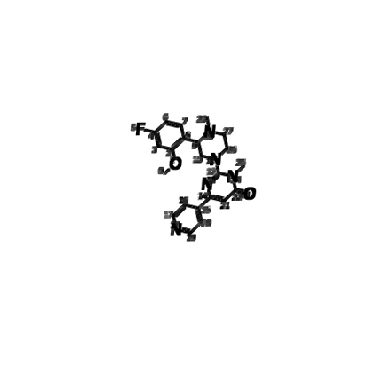 COc1cc(F)ccc1C1CN(c2nc(-c3ccncc3)cc(=O)n2C)CCN1C